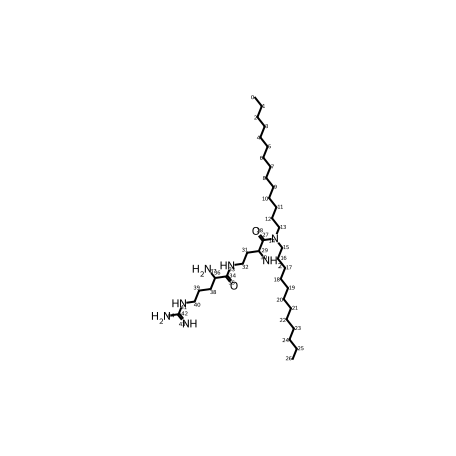 CCCCCCCCCCCCCCN(CCCCCCCCCCCC)C(=O)C(N)CCNC(=O)C(N)CCCNC(=N)N